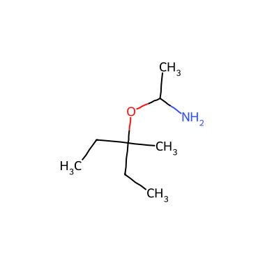 CCC(C)(CC)OC(C)N